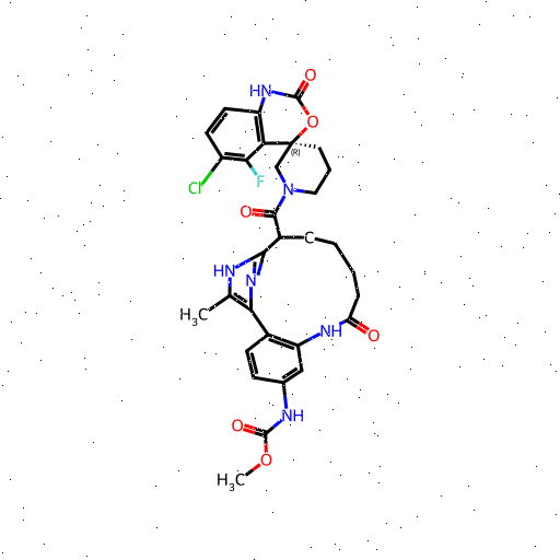 COC(=O)Nc1ccc2c(c1)NC(=O)CCCCC(C(=O)N1CCC[C@@]3(C1)OC(=O)Nc1ccc(Cl)c(F)c13)c1nc-2c(C)[nH]1